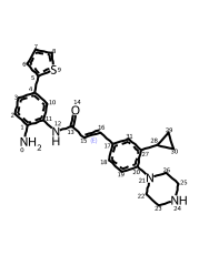 Nc1ccc(-c2cccs2)cc1NC(=O)/C=C/c1ccc(N2CCNCC2)c(C2CC2)c1